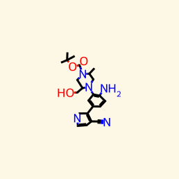 CC1CN(c2cc(-c3cnccc3C#N)ccc2N)C(CO)CN1C(=O)OC(C)(C)C